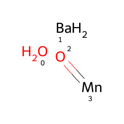 O.[BaH2].[O]=[Mn]